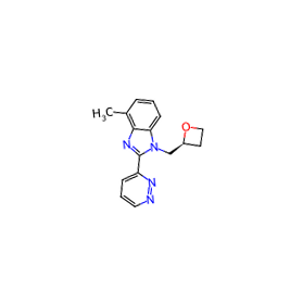 Cc1cccc2c1nc(-c1cccnn1)n2C[C@@H]1CCO1